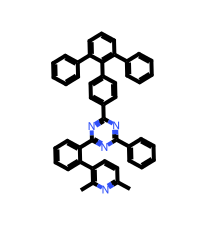 Cc1ccc(-c2ccccc2-c2nc(-c3ccccc3)nc(-c3ccc(-c4c(-c5ccccc5)cccc4-c4ccccc4)cc3)n2)c(C)n1